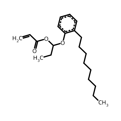 C=CC(=O)OC(CC)Oc1ccccc1CCCCCCCCC